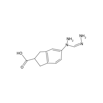 N/N=C\N(N)c1ccc2c(c1)CC(C(=O)O)C2